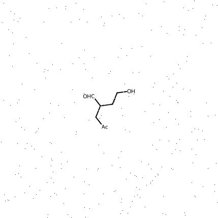 CC(=O)CC(C=O)CCO